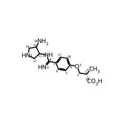 C[C@@H](COc1ccc(C(=N)NC2CNCC2N)cc1)C(=O)O